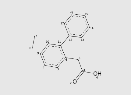 CC.O=C(O)Cc1ccccc1-c1ccccc1